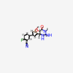 COC1C(=O)N(C)C(=N)NC1(C)c1cc(-c2ccc(F)c(C#N)c2)cs1